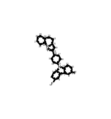 Fc1ccc2c(c1)c1cc(F)ccc1n2-c1ccc(-c2cc3ccc4ccccc4n3n2)cc1